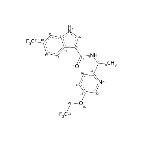 CC(NC(=O)c1c[nH]c2cc(C(F)(F)F)ccc12)c1ccc(OCC(F)(F)F)cn1